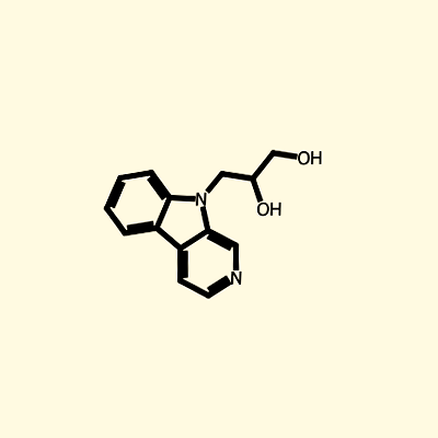 OCC(O)Cn1c2ccccc2c2ccncc21